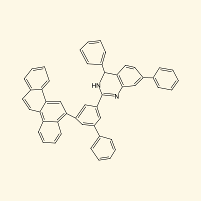 c1ccc(-c2cc(C3=Nc4cc(-c5ccccc5)ccc4C(c4ccccc4)N3)cc(-c3cc4c5ccccc5ccc4c4ccccc34)c2)cc1